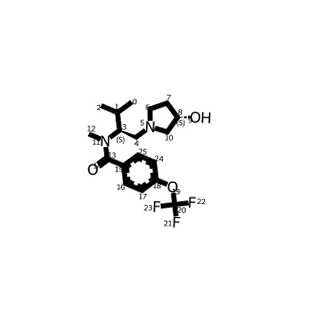 CC(C)[C@@H](CN1CC[C@H](O)C1)N(C)C(=O)c1ccc(OC(F)(F)F)cc1